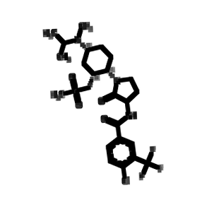 CC(C)N(C)[C@@H]1CC[C@H](N2CCC(NC(=O)c3ccc(Cl)c(C(F)(F)F)c3)C2=O)[C@H](CS(C)(=O)=O)C1